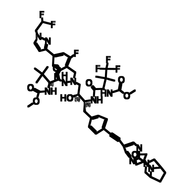 COC(=O)NC(C(=O)N[C@@H](Cc1ccc(C#Cc2cnc(N3CC4CCC(C3)N4C3COC3)nc2)cc1)[C@@H](O)CN(Cc1c(F)cc(-c2ccn(CC(F)F)n2)cc1F)NC(=O)[C@@H](NC(=O)OC)C(C)(C)C)C(C)(C)C(F)(F)F